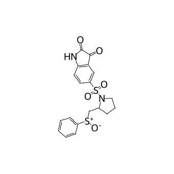 O=C1Nc2ccc(S(=O)(=O)N3CCCC3C[S+]([O-])c3ccccc3)cc2C1=O